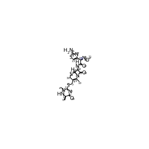 C=C1NN(C)C(SCC2=C(C)N3C(=O)[C@@H](NC(=O)/C(=N\OC)c4csc(N)n4)[C@H]3SC2)=NC1=O